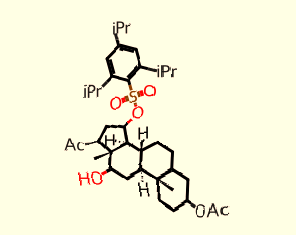 CC(=O)OC1CC[C@@]2(C)C(CC[C@H]3[C@@H]4C(OS(=O)(=O)c5c(C(C)C)cc(C(C)C)cc5C(C)C)C[C@H](C(C)=O)[C@@]4(C)C(O)C[C@@H]32)C1